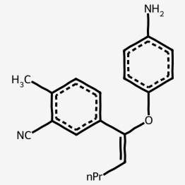 CCC/C=C(/Oc1ccc(N)cc1)c1ccc(C)c(C#N)c1